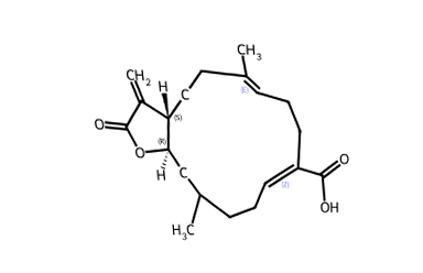 C=C1C(=O)O[C@@H]2CC(C)CC/C=C(\C(=O)O)CC/C=C(\C)CC[C@@H]12